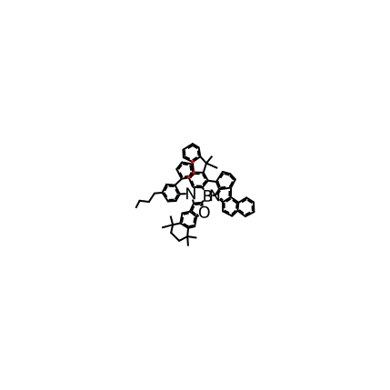 CCCCc1ccc(N2c3cc4c(c5c3B(c3oc6cc7c(cc6c32)C(C)(C)CCC7(C)C)n2c3ccc6ccccc6c3c3cccc-5c32)C(C)(C)c2ccccc2-4)c(-c2ccccc2)c1